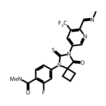 CN=Cc1ncc(N2C(=O)C3(CCC3)N(c3ccc(C(=O)NC)c(F)c3)C2=S)cc1C(F)(F)F